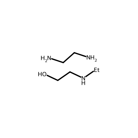 CCNCCO.NCCN